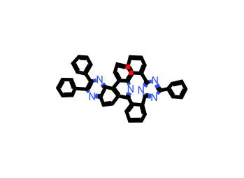 c1ccc(-c2nc(-c3ccccc3)nc(-c3ccccc3-c3nc4ccccc4c4c3ccc3nc(-c5ccccc5)c(-c5ccccc5)nc34)n2)cc1